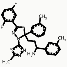 Cc1cccc(C(N)CCC2(c3cccc(C)c3)SC(c3cc(F)ccc3F)=NN2c2nnc(C)s2)c1